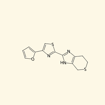 c1coc(-c2csc(-c3nc4c([nH]3)CSCC4)n2)c1